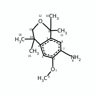 COc1cc2c(cc1N)C(C)(C)OCC2(C)C